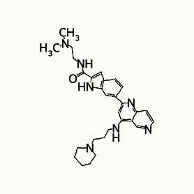 CN(C)CCNC(=O)c1cc2ccc(-c3cc(NCCCN4CCCCC4)c4cnccc4n3)cc2[nH]1